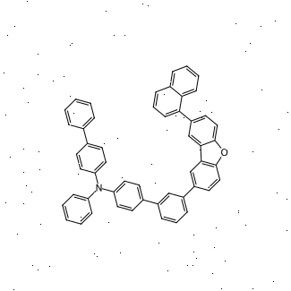 c1ccc(-c2ccc(N(c3ccccc3)c3ccc(-c4cccc(-c5ccc6oc7ccc(-c8cccc9ccccc89)cc7c6c5)c4)cc3)cc2)cc1